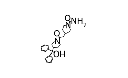 NC(=O)N1CCC(CC(=O)N2CCC(C(O)(c3ccccc3)c3ccccc3)CC2)CC1